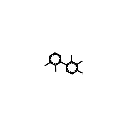 Cc1cccc(-c2ccc(I)c(C)c2C)c1C